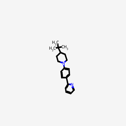 CC(C)(C)C1CCN(c2ccc(-c3ccccn3)cc2)CC1